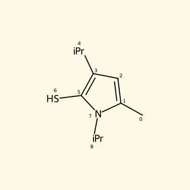 Cc1cc(C(C)C)c(S)n1C(C)C